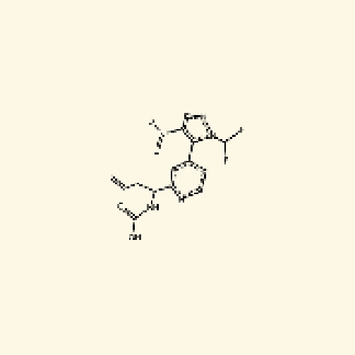 C=CCC(NC(=O)O)c1cc(-c2c([N+](=O)[O-])cnn2C(F)F)ccn1